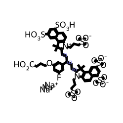 CC1(C)C(/C=C/C(=C/C=C2/N(CCCS(=O)(=O)[O-])c3ccc4c(S(=O)(=O)[O-])cc(S(=O)(=O)[O-])cc4c3C2(C)C)c2cc(F)cc(OCCCC(=O)O)c2)=[N+](CCCS(=O)(=O)[O-])c2ccc3c(S(=O)(=O)O)cc(S(=O)(=O)O)cc3c21.[Na+].[Na+].[Na+]